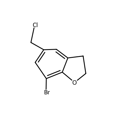 ClCc1cc(Br)c2c(c1)CCO2